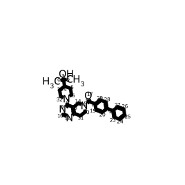 CC(C)(O)C1CCN(c2ncnc3c2CN(C(=O)c2ccc(-c4ccccc4)cc2)CC3)CC1